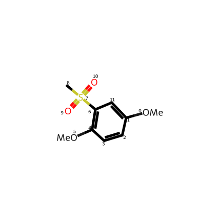 COc1ccc(OC)c(S(C)(=O)=O)c1